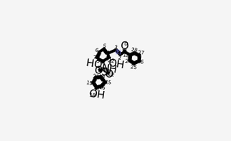 O=C(/C=C/C1=CC=CC(O)(NS(=O)(=O)c2ccc(O)cc2)C1O)c1ccccc1